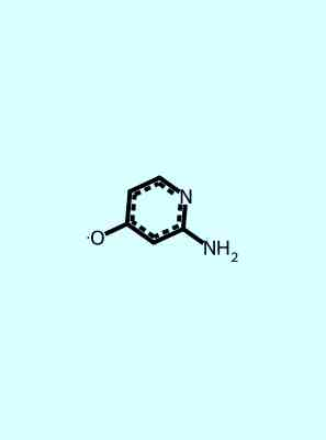 Nc1cc([O])ccn1